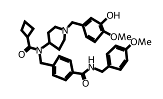 COc1ccc(CNC(=O)c2ccc(CN(C(=O)C3CCC3)C3CCN(Cc4ccc(OC)c(O)c4)CC3)cc2)cc1